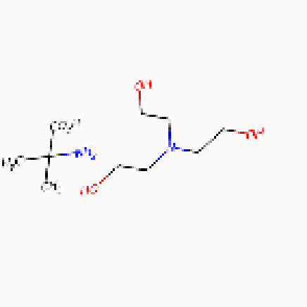 CC(C)(N)C(=O)O.OCCN(CCO)CCO